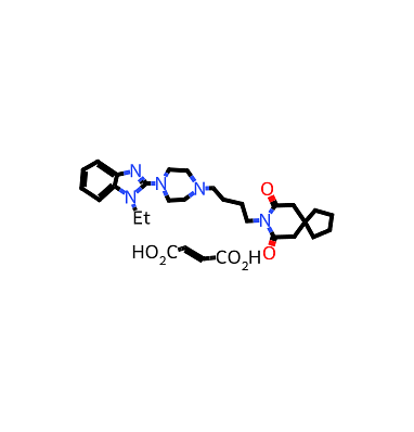 CCn1c(N2CCN(CCCCN3C(=O)CC4(CCCC4)CC3=O)CC2)nc2ccccc21.O=C(O)C=CC(=O)O